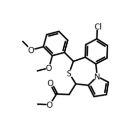 COC(=O)CC1SC(c2cccc(OC)c2OC)c2cc(Cl)ccc2-n2cccc21